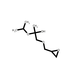 [CH2]C(O)(COCC1CO1)OC(C)C